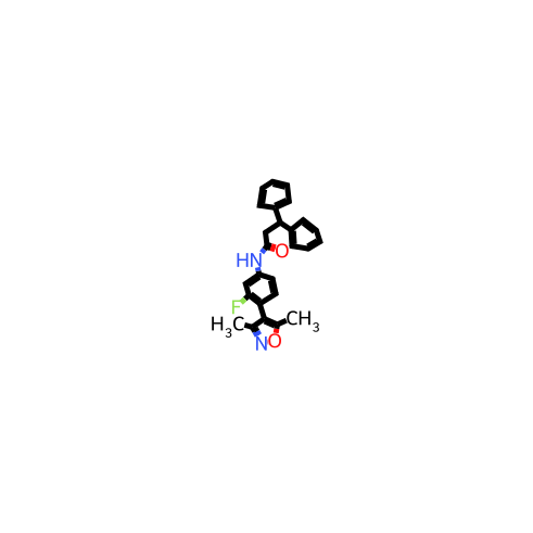 Cc1noc(C)c1-c1ccc(NC(=O)CC(c2ccccc2)c2ccccc2)cc1F